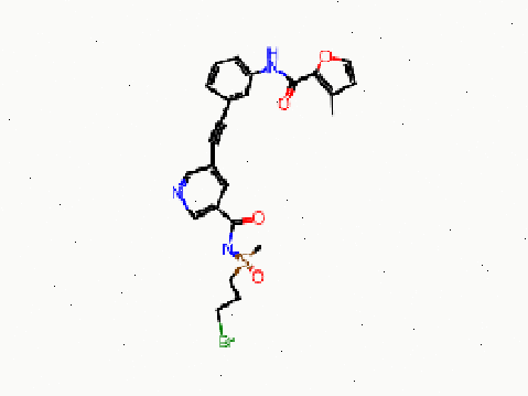 Cc1ccoc1C(=O)Nc1cccc(C#Cc2cncc(C(=O)N=S(C)(=O)CCCBr)c2)c1